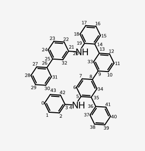 c1ccc(Nc2ccc(-c3cccc(-c4ccccc4Nc4cccc(-c5ccccc5)c4)c3)cc2-c2ccccc2)cc1